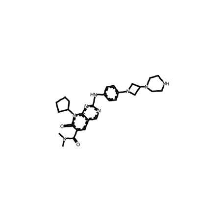 CN(C)C(=O)c1cc2cnc(Nc3ccc(N4CC(N5CCNCC5)C4)cc3)nc2n(C2CCCC2)c1=O